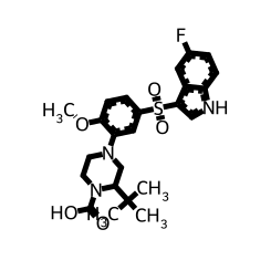 COc1ccc(S(=O)(=O)c2c[nH]c3ccc(F)cc23)cc1N1CCN(C(=O)O)C(C(C)(C)C)C1